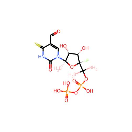 BC(B)(OP(=O)(O)OP(=O)(O)O)[C@@]1(F)O[C@@](B)(n2cc(C=O)c(=S)[nH]c2=O)[C@H](O)[C@@H]1O